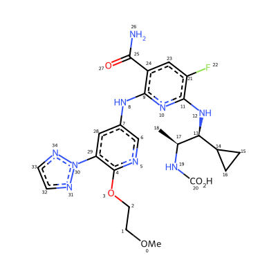 COCCOc1ncc(Nc2nc(N[C@@H](C3CC3)[C@H](C)NC(=O)O)c(F)cc2C(N)=O)cc1-n1nccn1